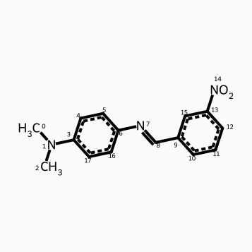 CN(C)c1ccc(N=Cc2cccc([N+](=O)[O-])c2)cc1